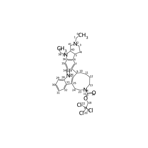 CCN1CCC2c3cc(C4CCCCN(C(=O)OCC(Cl)(Cl)Cl)CCc5c4[nH]c4ccccc54)ccc3N(CC)C2C1